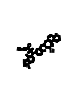 CC[C@@H]1CN(Cc2cc(C(c3ccc4c(nnn4C)c3C)C(C)(C)C(=O)OC)ccc2C)Cc2ccc3ncccc3c2O1